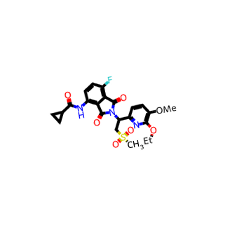 CCOc1nc(C(CS(C)(=O)=O)N2C(=O)c3c(F)ccc(NC(=O)C4CC4)c3C2=O)ccc1OC